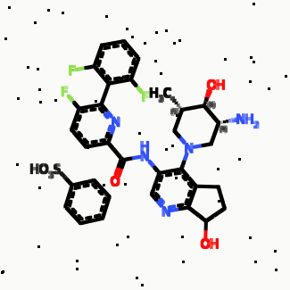 C[C@H]1CN(c2c(NC(=O)c3ccc(F)c(-c4c(F)cccc4F)n3)cnc3c2CCC3O)C[C@@H](N)[C@@H]1O.O=S(=O)(O)c1ccccc1